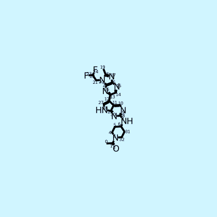 CC(=O)N1CCC(Nc2ncc3c(-c4cnc5nc(C)n(CC(F)F)c5n4)c[nH]c3n2)CC1